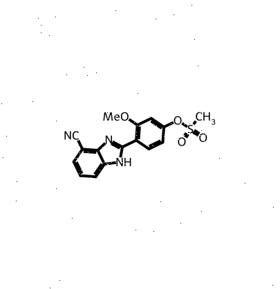 COc1cc(OS(C)(=O)=O)ccc1-c1nc2c(C#N)cccc2[nH]1